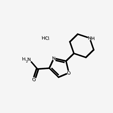 Cl.NC(=O)c1coc(C2CCNCC2)n1